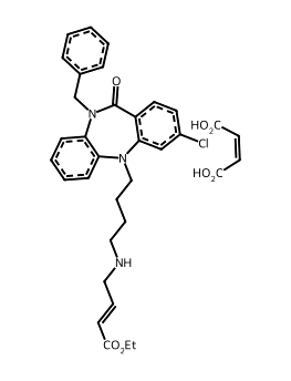 CCOC(=O)/C=C/CNCCCCN1c2cc(Cl)ccc2C(=O)N(Cc2ccccc2)c2ccccc21.O=C(O)/C=C\C(=O)O